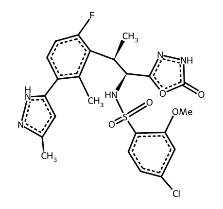 COc1cc(Cl)ccc1S(=O)(=O)N[C@H](c1n[nH]c(=O)o1)[C@H](C)c1c(F)ccc(-c2cc(C)n[nH]2)c1C